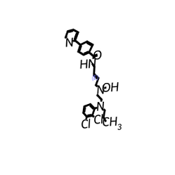 CCCN(CCN(O)C/C=C/CNC(=O)c1ccc(-c2ccccn2)cc1)c1cccc(Cl)c1Cl